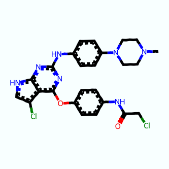 CN1CCN(c2ccc(Nc3nc(Oc4ccc(NC(=O)CCl)cc4)c4c(Cl)c[nH]c4n3)cc2)CC1